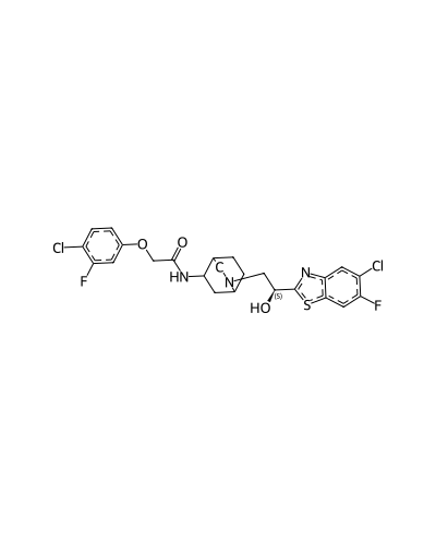 O=C(COc1ccc(Cl)c(F)c1)NC1CC2CCC1CN2C[C@H](O)c1nc2cc(Cl)c(F)cc2s1